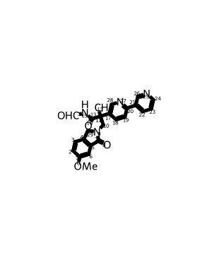 COc1ccc2c(c1)C(=O)N(CC(C)(C(=O)NC=O)c1ccc(-c3cccnc3)nc1)C2